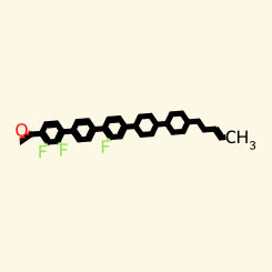 C/C=C/CCC1CCC(C2CCC(c3ccc(-c4ccc(-c5ccc(C6CO6)c(F)c5F)cc4)c(F)c3)CC2)CC1